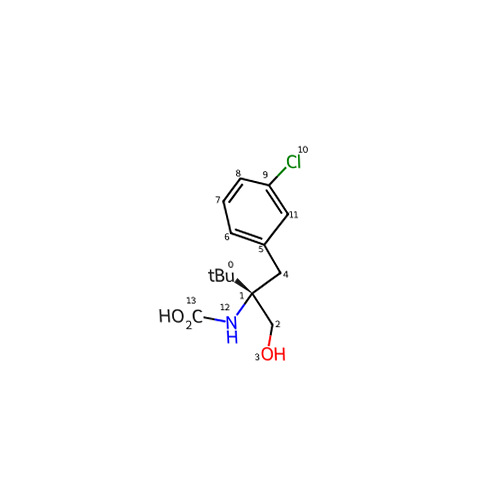 CC(C)(C)[C@](CO)(Cc1cccc(Cl)c1)NC(=O)O